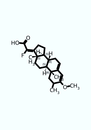 COC1=CC2=CC[C@@H]3[C@H](CC[C@]4(C)C(=C(F)C(=O)O)CC[C@@H]34)[C@@]2(C)CC1C